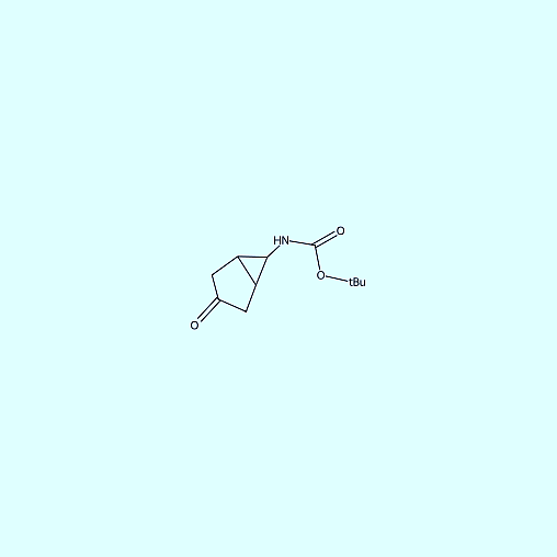 CC(C)(C)OC(=O)NC1C2CC(=O)CC21